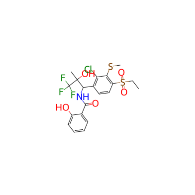 CCS(=O)(=O)c1ccc(C(NC(=O)c2ccccc2O)C(C)(O)C(F)(F)F)c(Cl)c1SC